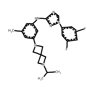 Cc1cc(Nc2ncn(-c3cc(F)cc(F)c3)n2)cc(N2CC3(C2)CN(C(C)C)C3)c1